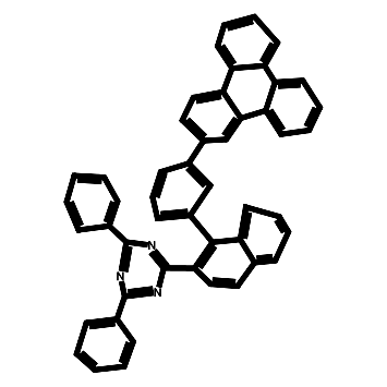 c1ccc(-c2nc(-c3ccccc3)nc(-c3ccc4ccccc4c3-c3cccc(-c4ccc5c6ccccc6c6ccccc6c5c4)c3)n2)cc1